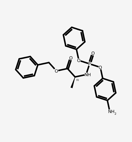 C[C@H](NP(=O)(Oc1ccccc1)Oc1ccc(N)cc1)C(=O)OCc1ccccc1